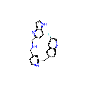 Fc1cnc2ccc(Cc3cc(CNCc4ccc5[nH]ccc5n4)ccn3)cc2c1